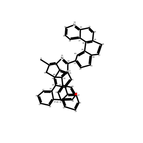 C\C1=C(c2ccc3c4ccccc4c4ccccc4c3c2)/N=C(c2ccc3ccc4ccc5ncccc5c4c3c2)\N=C(\c2ccccc2)CC1